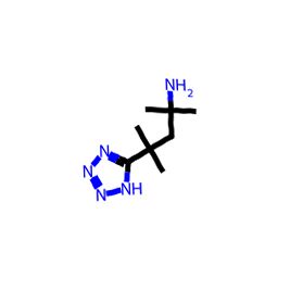 CC(C)(N)CC(C)(C)c1nnn[nH]1